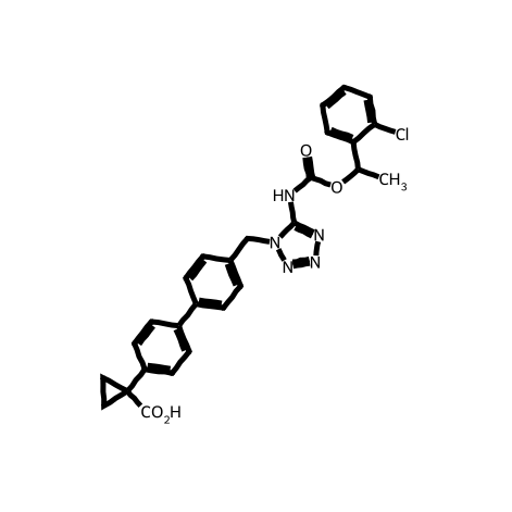 CC(OC(=O)Nc1nnnn1Cc1ccc(-c2ccc(C3(C(=O)O)CC3)cc2)cc1)c1ccccc1Cl